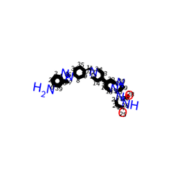 Nc1ccc2nn([C@H]3CC[C@H](CN4CCC(c5ccn6c(N7CCC(=O)NC7=O)cnc6c5)CC4)CC3)cc2c1